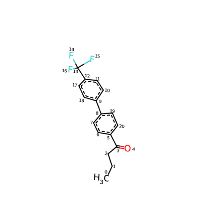 CCCC(=O)c1ccc(-c2ccc(C(F)(F)F)cc2)cc1